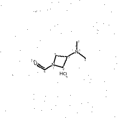 CN(C)C1CN(C=O)C1.Cl